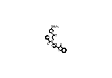 CC(=O)NC1CCN(C(=O)CCN(C(=O)c2cccs2)c2nc(C3Oc4ccccc4C3=O)cs2)C1